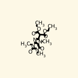 CCOC(=O)C(C(=O)OCC)c1nc2c(c(=O)n(C)c(=O)n2C)n1C